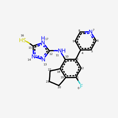 Fc1cc(-c2ccncc2)c(Nc2nnc(S)[nH]2)c2c1CCC2